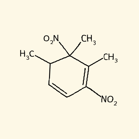 CC1=C([N+](=O)[O-])C=CC(C)C1(C)[N+](=O)[O-]